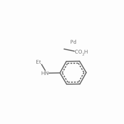 CC(=O)O.CCNc1ccccc1.[Pd]